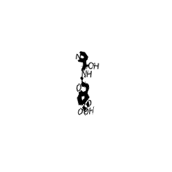 O=S(=O)(O)c1ccc2c(c1)CC[C@H](CNC[C@H](O)c1cccnc1)O2